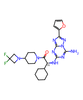 Nc1nc(N[C@H](C(=O)N2CCC(N3CC(F)(F)C3)CC2)C2CCCCC2)nc2nc(-c3ccco3)nn12